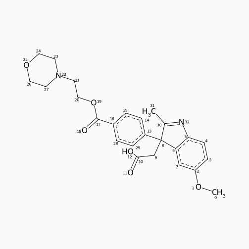 COc1ccc2c(c1)C(CC(=O)O)(c1ccc(C(=O)OCCN3CCOCC3)cc1)C(C)=N2